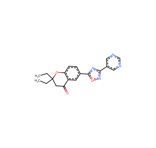 CCC1(CC)CC(=O)c2cc(-c3nc(-c4cncnc4)no3)ccc2O1